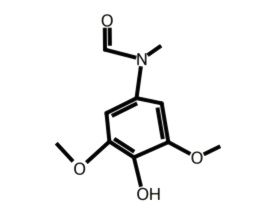 COc1cc(N(C)C=O)cc(OC)c1O